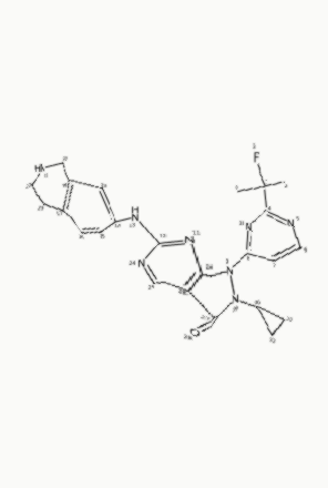 CC(C)(F)c1nccc(-n2c3nc(Nc4ccc5c(c4)CNCC5)ncc3c(=O)n2C2CC2)n1